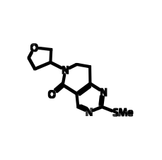 CSc1ncc2c(n1)CCN(C1CCOC1)C2=O